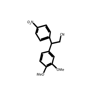 COc1ccc(C(CC#N)c2ccc([N+](=O)[O-])cc2)cc1OC